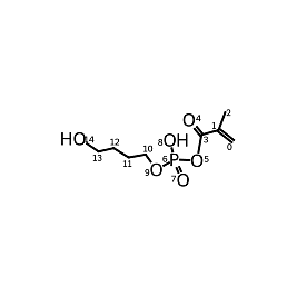 C=C(C)C(=O)OP(=O)(O)OCCCCO